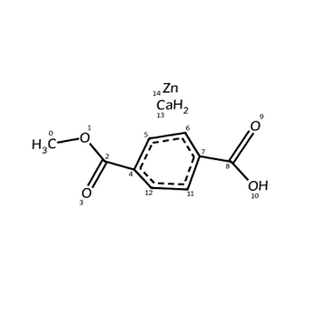 COC(=O)c1ccc(C(=O)O)cc1.[CaH2].[Zn]